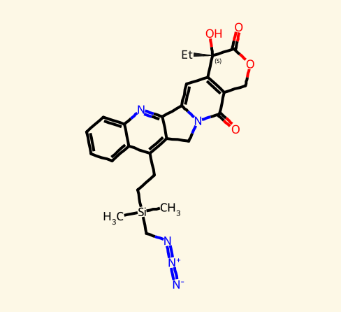 CC[C@@]1(O)C(=O)OCc2c1cc1n(c2=O)Cc2c-1nc1ccccc1c2CC[Si](C)(C)CN=[N+]=[N-]